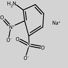 Nc1cccc(S(=O)(=O)[O-])c1[N+](=O)[O-].[Na+]